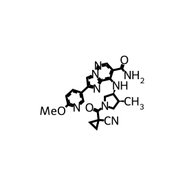 COc1ccc(-c2cn3ncc(C(N)=O)c(N[C@@H]4CN(C(=O)C5(C#N)CC5)C[C@@H]4C)c3n2)cn1